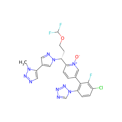 Cn1nncc1-c1cnn([C@H](CCOC(F)F)c2ccc(-c3c(-n4cnnn4)ccc(Cl)c3F)c[n+]2[O-])c1